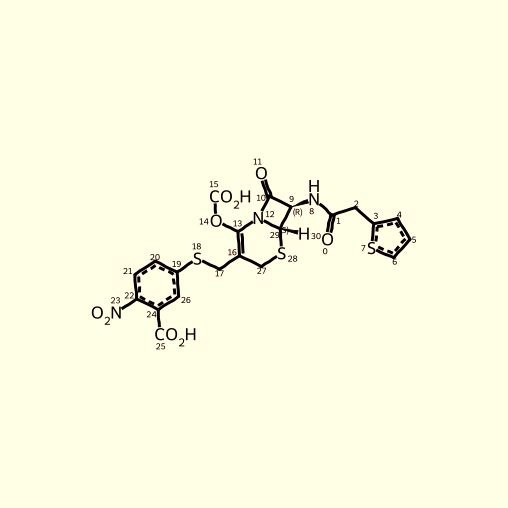 O=C(Cc1cccs1)N[C@@H]1C(=O)N2C(OC(=O)O)=C(CSc3ccc([N+](=O)[O-])c(C(=O)O)c3)CS[C@@H]12